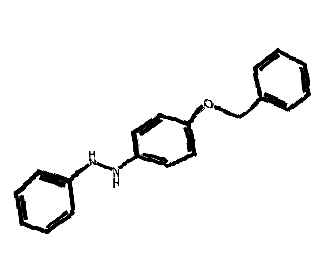 c1ccc(COc2ccc(NNc3ccccc3)cc2)cc1